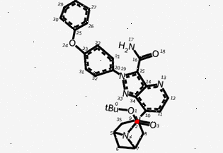 CC(C)(C)OC(=O)N1C2CC1CN(c1ccnc3c(C(N)=O)n(-c4ccc(Oc5ccccc5)cc4)nc13)C2